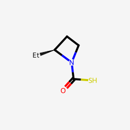 CC[C@H]1CCN1C(=O)S